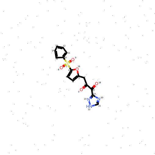 O=C(Cc1ccc(S(=O)(=O)c2ccccc2)o1)C(=O)c1nc[nH]n1